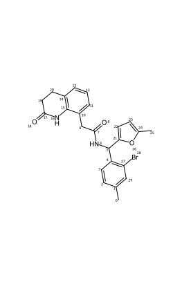 Cc1ccc(C(NC(=O)Cc2cccc3c2NC(=O)CC3)c2ccc(C)o2)c(Br)c1